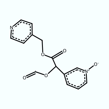 O=[C]OC(C(=O)OCc1ccncc1)c1ccc[n+]([O-])c1